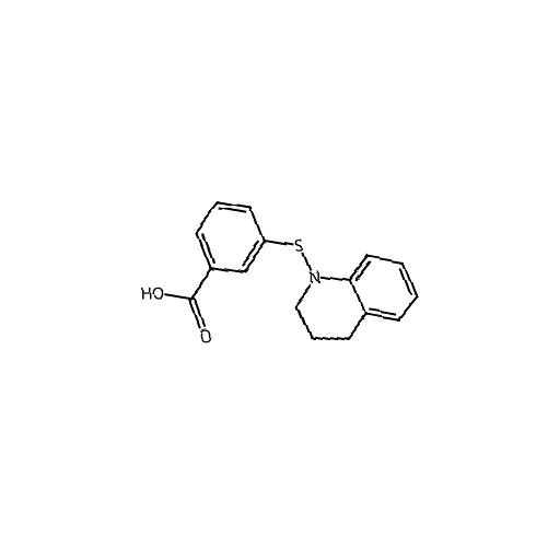 O=C(O)c1cccc(SN2CCCc3ccccc32)c1